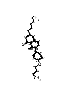 CCCCCc1cc2ccc(-c3ccc(OCCCC)cc3)c(F)c2c(=O)o1